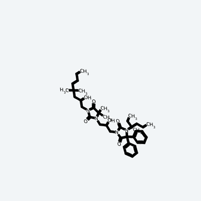 CCCCC(C)(C)CC(O)CN1C(=O)N(CC(O)CN2C(=O)N(C(C)(CC)CCC)C(c3ccccc3)(c3ccccc3)C2=O)C(C)(C)C1=O